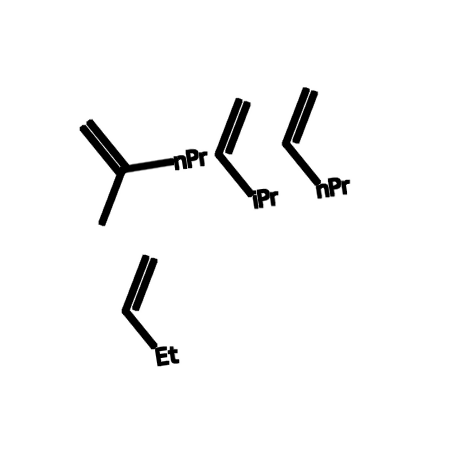 C=C(C)CCC.C=CC(C)C.C=CCC.C=CCCC